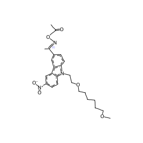 COCCCCCCOCCn1c2ccc(/C(C)=N/OC(C)=O)cc2c2cc([N+](=O)[O-])ccc21